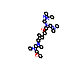 c1ccc(-c2nc(-c3cccc(-n4c5cc6oc7cc(-c8ccc9c%10c(cccc8%10)-c8ccc(-n%10c%11ccccc%11c%11c%12c%13cc%14c(cc%13n(-c%13ccccc%13)c%12ccc%11%10)oc%10ccccc%10%14)cc8-9)ccc7c6cc5c5c6c7ccccc7n(-c7ccccc7)c6ccc54)c3)nc3ccccc23)cc1